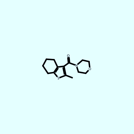 Cc1sc2c(c1C(=O)N1CCOCC1)CCCC2